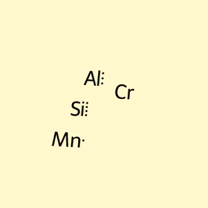 [Al].[Cr].[Mn].[Si]